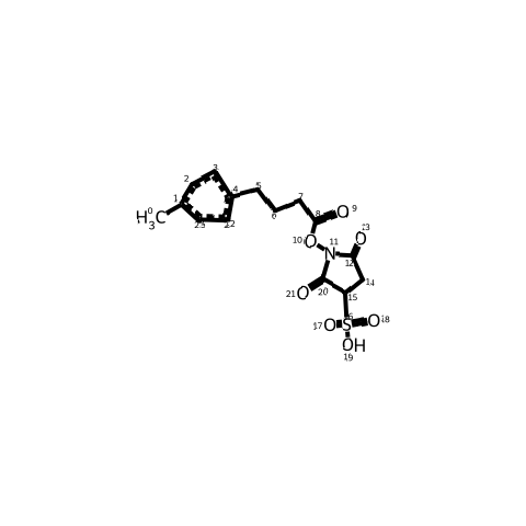 Cc1ccc(CCCC(=O)ON2C(=O)CC(S(=O)(=O)O)C2=O)cc1